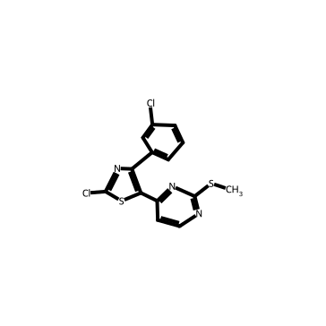 CSc1nccc(-c2sc(Cl)nc2-c2cccc(Cl)c2)n1